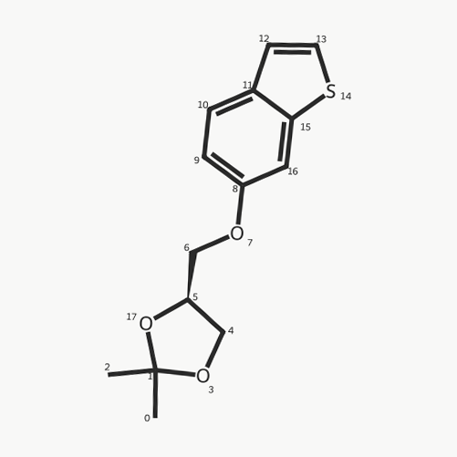 CC1(C)OC[C@H](COc2ccc3ccsc3c2)O1